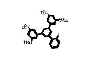 CC(C)(C)c1cc(C2=CC(c3ccccc3I)=CC(c3cc(C(C)(C)C)cc(C(C)(C)C)c3)C2)cc(C(C)(C)C)c1